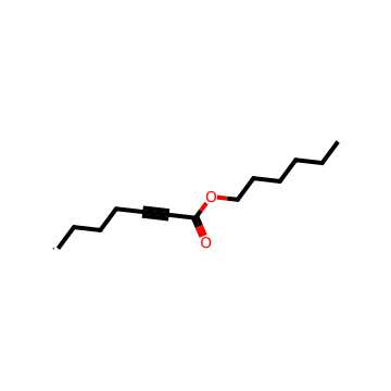 [CH2]CCCC#CC(=O)OCCCCCC